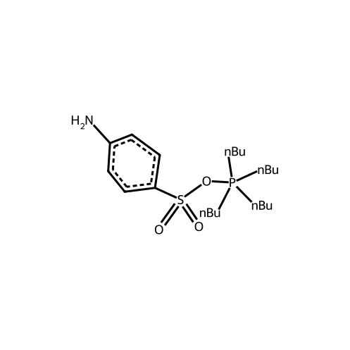 CCCCP(CCCC)(CCCC)(CCCC)OS(=O)(=O)c1ccc(N)cc1